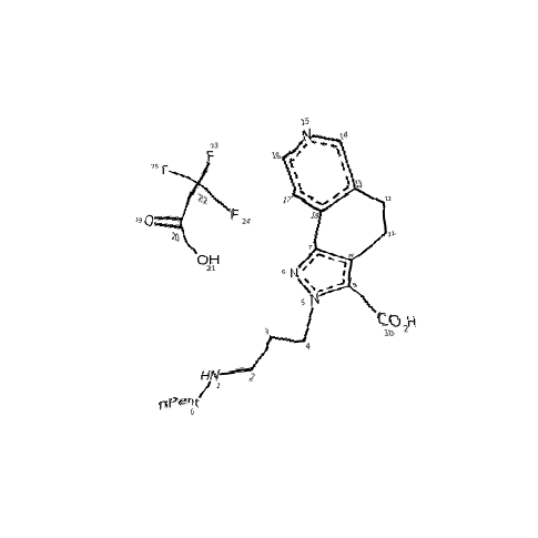 CCCCCNCCCn1nc2c(c1C(=O)O)CCc1cnccc1-2.O=C(O)C(F)(F)F